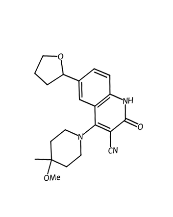 COC1(C)CCN(c2c(C#N)c(=O)[nH]c3ccc(C4CCCO4)cc23)CC1